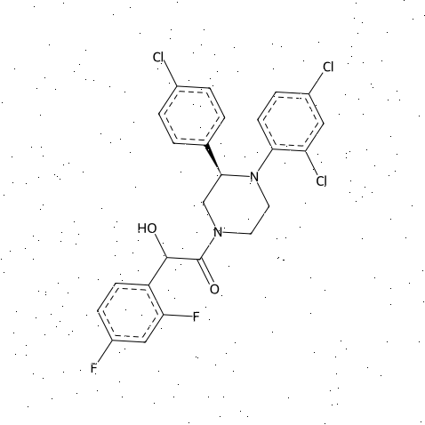 O=C(C(O)c1ccc(F)cc1F)N1CCN(c2ccc(Cl)cc2Cl)[C@H](c2ccc(Cl)cc2)C1